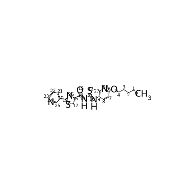 CCCCCOc1ccc(NC(=S)NC(=O)C2CSC(c3cccnc3)=N2)cn1